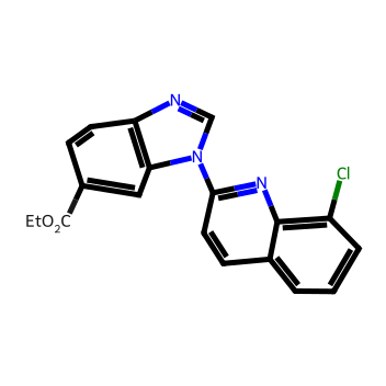 CCOC(=O)c1ccc2ncn(-c3ccc4cccc(Cl)c4n3)c2c1